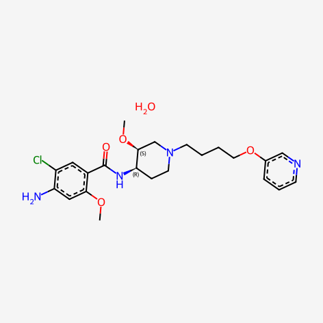 COc1cc(N)c(Cl)cc1C(=O)N[C@@H]1CCN(CCCCOc2cccnc2)C[C@@H]1OC.O